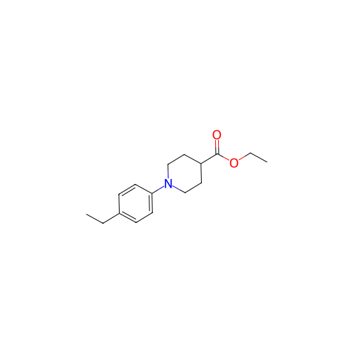 CCOC(=O)C1CCN(c2ccc(CC)cc2)CC1